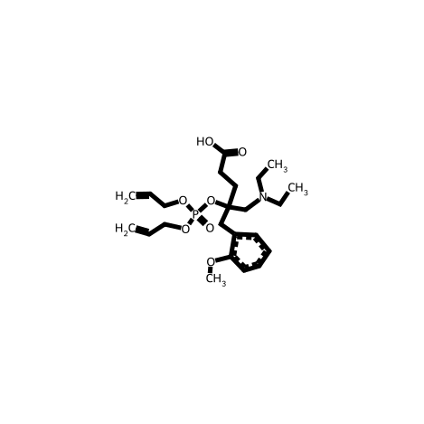 C=CCOP(=O)(OCC=C)OC(CCC(=O)O)(Cc1ccccc1OC)CN(CC)CC